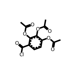 CC(=O)Oc1ccc(C(=O)Cl)c(OC(C)=O)c1OC(C)=O